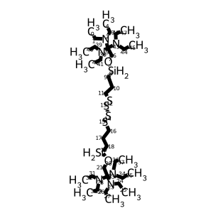 CCN(CC)C(CO[SiH2]CCCSSSSCCC[SiH2]OCC(N(CC)CC)(N(CC)CC)N(CC)CC)(N(CC)CC)N(CC)CC